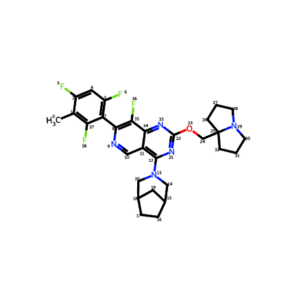 Cc1c(F)cc(F)c(-c2ncc3c(N4CC5CCC(C5)C4)nc(OCC45CCCN4CCC5)nc3c2F)c1F